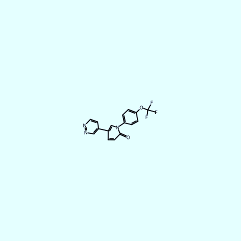 O=c1ccc(-c2ccnnc2)cn1-c1ccc(OC(F)(F)F)cc1